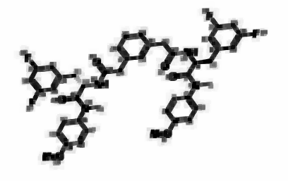 COc1ccc(N(C)C(=O)[C@H](Cc2cc(F)cc(F)c2)NC(=O)Cc2cccc(CC(=O)N[C@@H](Cc3cc(F)cc(F)c3)C(=O)N(C)c3ccc(OC)cc3)c2)cc1